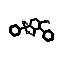 CC1=C(c2ccccc2)C(=O)N(C(C)(C)c2ccccc2)CC1